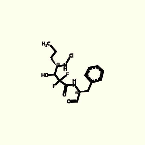 CCC[C@H](NCl)C(O)C(F)(F)C(=O)N[C@H](C=O)Cc1ccccc1